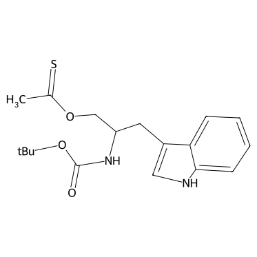 CC(=S)OCC(Cc1c[nH]c2ccccc12)NC(=O)OC(C)(C)C